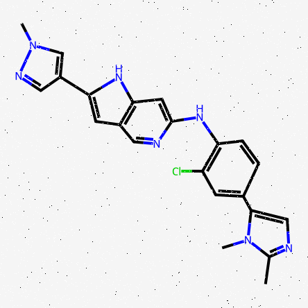 Cc1ncc(-c2ccc(Nc3cc4[nH]c(-c5cnn(C)c5)cc4cn3)c(Cl)c2)n1C